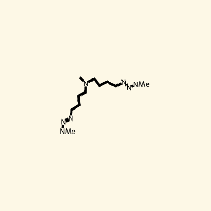 CNN=NCCCCN(C)CCCCN=NNC